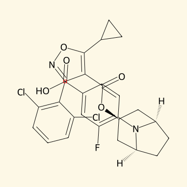 O=C(O)c1ccc(N2[C@@H]3CC[C@H]2C[C@@H](OC(=O)c2c(-c4c(Cl)cccc4Cl)noc2C2CC2)C3)c(F)c1